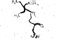 CC(C)(C)NCC([NH])=O